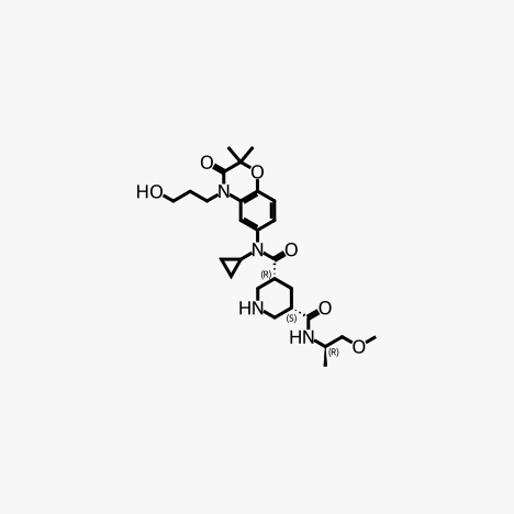 COC[C@@H](C)NC(=O)[C@@H]1CNC[C@H](C(=O)N(c2ccc3c(c2)N(CCCO)C(=O)C(C)(C)O3)C2CC2)C1